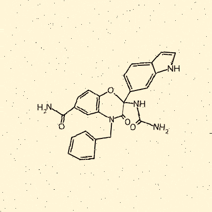 NC(=O)NC1(c2ccc3cc[nH]c3c2)Oc2ccc(C(N)=O)cc2N(Cc2ccccc2)C1=O